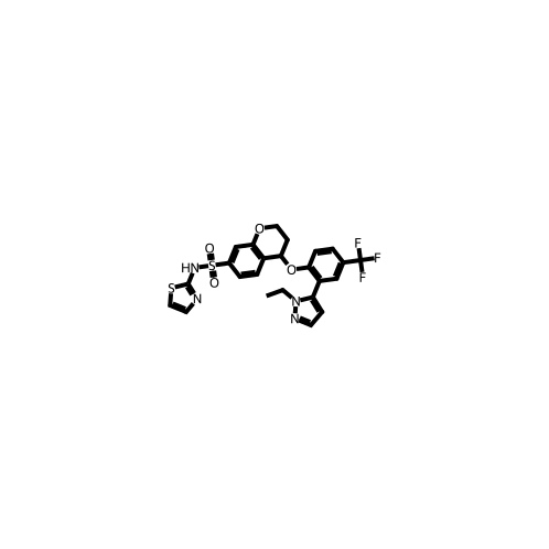 CCn1nccc1-c1cc(C(F)(F)F)ccc1OC1CCOc2cc(S(=O)(=O)Nc3nccs3)ccc21